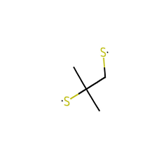 CC(C)([S])C[S]